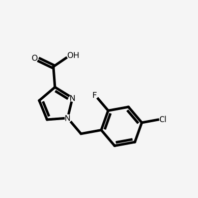 O=C(O)c1ccn(Cc2ccc(Cl)cc2F)n1